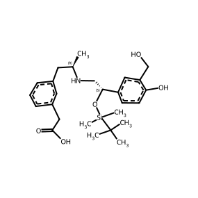 C[C@H](Cc1cccc(CC(=O)O)c1)NC[C@@H](O[Si](C)(C)C(C)(C)C)c1ccc(O)c(CO)c1